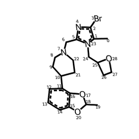 Cc1c(Br)nc(CN2CCC(c3cccc4c3OC(C)O4)CC2)n1CC1CCO1